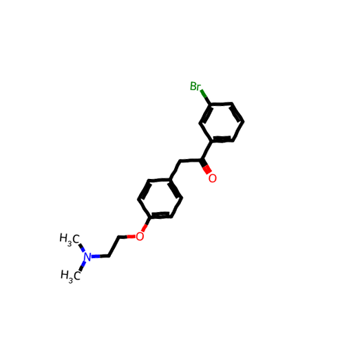 CN(C)CCOc1ccc(CC(=O)c2cccc(Br)c2)cc1